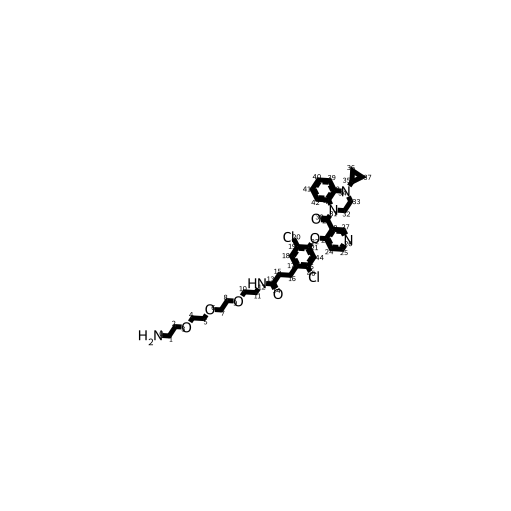 NCCOCCOCCOCCNC(=O)CCc1cc(Cl)c(Oc2ccncc2C(=O)N2CCN(C3CC3)c3ccccc32)cc1Cl